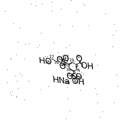 O=C(O)c1cc(S(=O)(=O)O)cc(S(=O)(=O)OCCO)c1.[NaH]